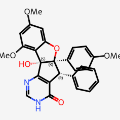 COc1ccc([C@@]23Oc4cc(OC)cc(OC)c4[C@]2(O)c2nc[nH]c(=O)c2[C@H]3c2ccccc2)cc1